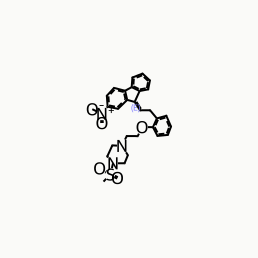 CS(=O)(=O)N1CCN(CCOc2ccccc2C/C=C2\c3ccccc3-c3ccc([N+](=O)[O-])cc32)CC1